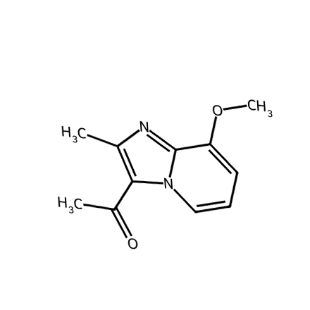 COc1cccn2c(C(C)=O)c(C)nc12